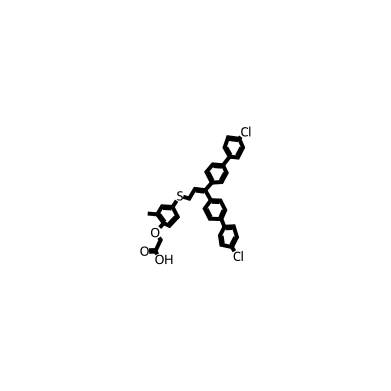 Cc1cc(SCC=C(c2ccc(-c3ccc(Cl)cc3)cc2)c2ccc(-c3ccc(Cl)cc3)cc2)ccc1OCC(=O)O